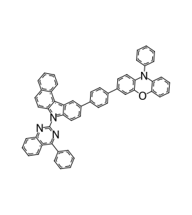 c1ccc(-c2nc(-n3c4ccc(-c5ccc(-c6ccc7c(c6)Oc6ccccc6N7c6ccccc6)cc5)cc4c4c5ccccc5ccc43)nc3ccccc23)cc1